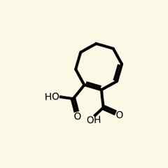 O=C(O)C1=C(C(=O)O)CCCCC=C1